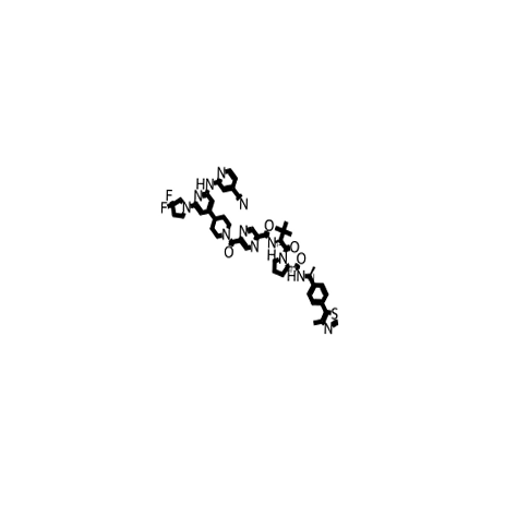 Cc1ncsc1-c1ccc([C@H](C)NC(=O)[C@@H]2CCCN2C(=O)[C@@H](NC(=O)c2cnc(C(=O)N3CCC(c4cc(Nc5cc(C#N)ccn5)nc(N5CCC(F)(F)C5)c4)CC3)cn2)C(C)(C)C)cc1